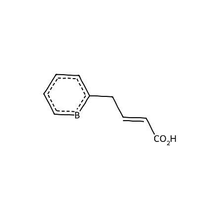 O=C(O)C=CCc1bcccc1